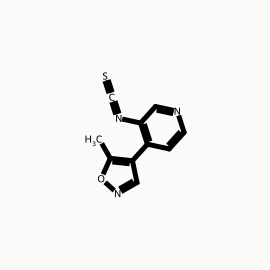 Cc1oncc1-c1ccncc1N=C=S